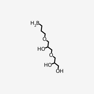 BCCCOCC(O)COCC(O)CO